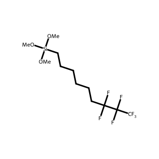 CO[Si](CCCCCCC(F)(F)C(F)(F)C(F)(F)F)(OC)OC